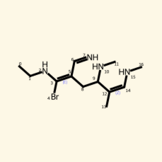 CCN/C(Br)=C(\C=N)CC(NC)/C(C)=C\NC